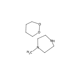 C1CCOOC1.CN1CCNCC1